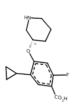 O=C(O)c1cc(C2CC2)c(O[C@H]2CCCNC2)cc1F